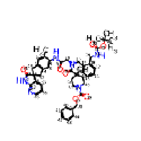 Cc1cc2c(cc1NC(=O)CN(Cc1ccccc1CNC(=O)OC(C)(C)C)C(=O)C1(C)CCN(C(=O)OCc3ccccc3)CC1)CC1(C2)C(=O)Nc2ncccc21